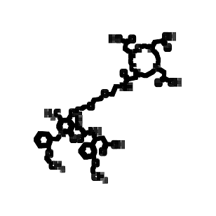 CCOc1cccc(C(CC(=O)O)NC(=O)Nc2c(OCCOCCOCCNC(=O)CN3CCN(CC(=O)O)CCN(CC(=O)O)CCN(CC(=O)O)CC3)c(C)cn(Cc3ccccc3OCC)c2=O)c1